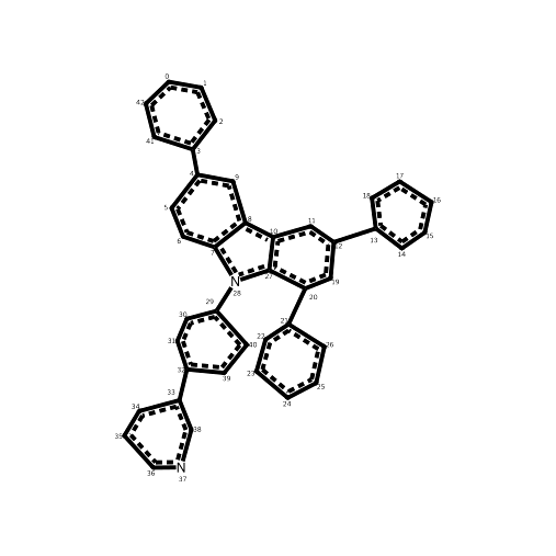 c1ccc(-c2ccc3c(c2)c2cc(-c4ccccc4)cc(-c4ccccc4)c2n3-c2ccc(-c3cccnc3)cc2)cc1